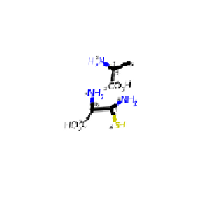 C[C@H](N)C(=O)O.NC(S)[C@H](N)C(=O)O